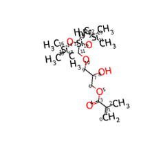 C=C(C)C(=O)OCC(O)COC[Si](CCC)(O[Si](C)(C)C)O[Si](C)(C)C